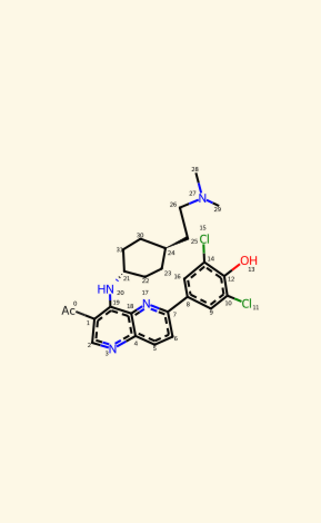 CC(=O)c1cnc2ccc(-c3cc(Cl)c(O)c(Cl)c3)nc2c1N[C@H]1CC[C@H](CCN(C)C)CC1